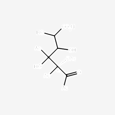 CC(=O)O[C@@](C(C)=O)(C(=O)C(C)=O)C(O)(C(C)=O)C(O)C(O)C(=O)O